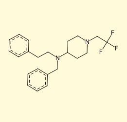 FC(F)(F)CN1CCC(N(CCc2ccccc2)Cc2ccccc2)CC1